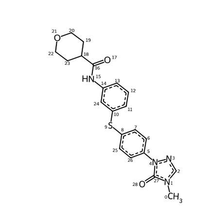 Cn1cnn(-c2ccc(Sc3cccc(NC(=O)C4CCOCC4)c3)cc2)c1=O